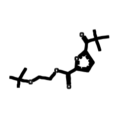 CC(C)(C)OCCOC(=O)c1ccc(C(=O)C(C)(C)C)o1